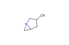 N#CC1CC2CN2C1